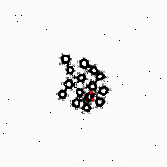 c1ccc(-c2ccc(N3c4ccc(-c5ccccc5)cc4B4c5ccc([Si](c6ccccc6)(c6ccccc6)c6ccccc6)cc5N(c5cc(-c6ccccc6)cc([Si](c6ccccc6)(c6ccccc6)c6ccccc6)c5)c5cc(-n6c7ccccc7c7ccccc76)cc3c54)cc2)cc1